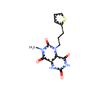 Cn1c(=O)c2[nH]c(=O)[nH]c(=O)c2n(CCCc2cccs2)c1=O